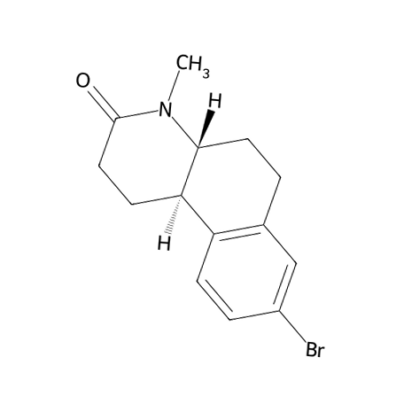 CN1C(=O)CC[C@@H]2c3ccc(Br)cc3CC[C@H]21